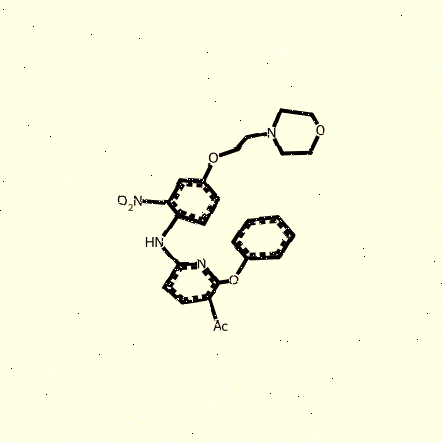 CC(=O)c1ccc(Nc2ccc(OCCN3CCOCC3)cc2[N+](=O)[O-])nc1Oc1ccccc1